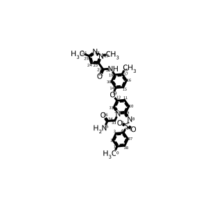 Cc1ccc(S(=O)(=O)N=c2ccc(Oc3ccc(C)c(NC(=O)c4cc(C)nn4C)c3)cn2CC(N)=O)cc1